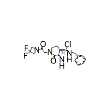 N=C1C(=O)N(CC(=O)N2CC(F)(F)C2)CC/C1=C(\Cl)NCc1ccccc1